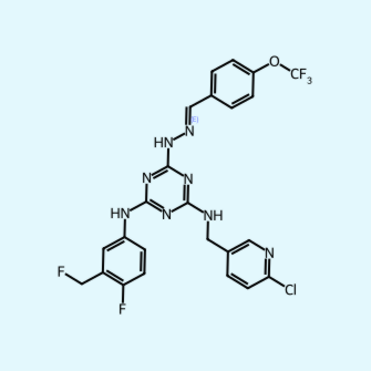 FCc1cc(Nc2nc(NCc3ccc(Cl)nc3)nc(N/N=C/c3ccc(OC(F)(F)F)cc3)n2)ccc1F